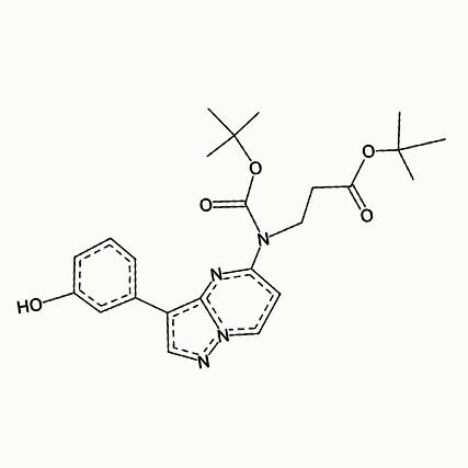 CC(C)(C)OC(=O)CCN(C(=O)OC(C)(C)C)c1ccn2ncc(-c3cccc(O)c3)c2n1